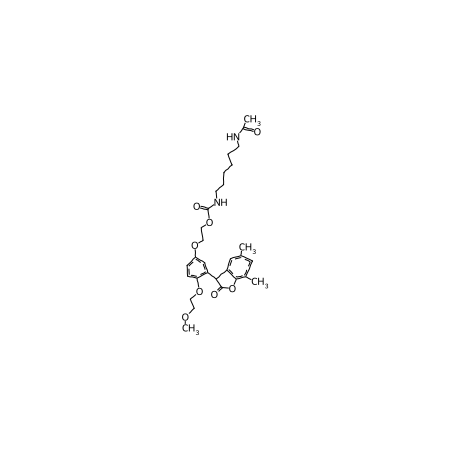 COCCOc1ccc(OCCOC(=O)NCCCCCCNC(C)=O)cc1C1C(=O)Oc2c(C)cc(C)cc21